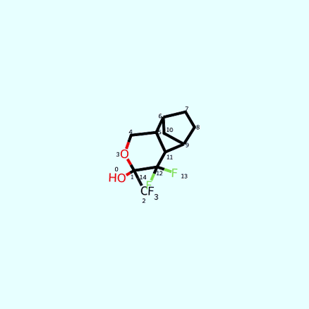 OC1(C(F)(F)F)OCC2C3CCC(C3)C2C1(F)F